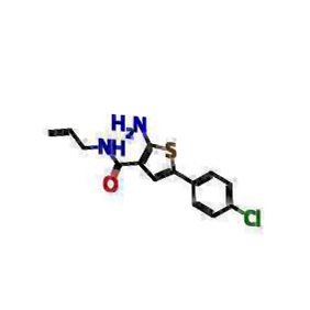 C=CCNC(=O)c1cc(-c2ccc(Cl)cc2)sc1N